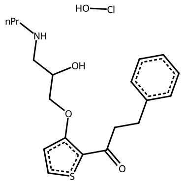 CCCNCC(O)COc1ccsc1C(=O)CCc1ccccc1.OCl